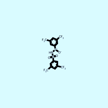 O=S(=O)(N[S+]([O-])c1cc(C(F)(F)F)cc(C(F)(F)F)c1)c1cc(C(F)(F)F)cc(C(F)(F)F)c1